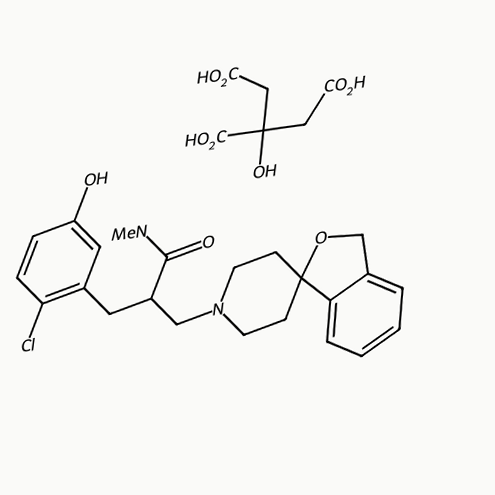 CNC(=O)C(Cc1cc(O)ccc1Cl)CN1CCC2(CC1)OCc1ccccc12.O=C(O)CC(O)(CC(=O)O)C(=O)O